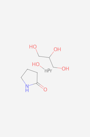 CCCO.O=C1CCCN1.OCC(O)CO